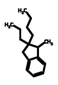 CCCCC1(CCC)Cc2ccccc2C1C